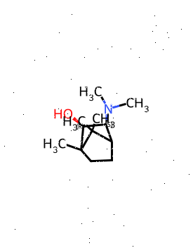 CN(C)[C@H]1C2CCC(C)([C@H]1O)C2(C)C